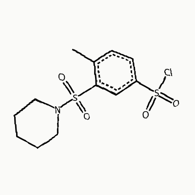 Cc1ccc(S(=O)(=O)Cl)cc1S(=O)(=O)N1CCCCC1